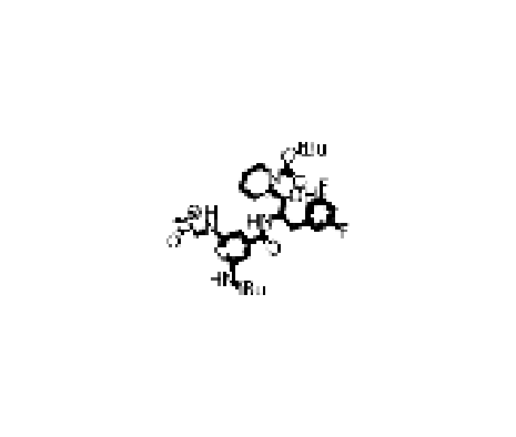 CCC(C)Nc1cc(C(=O)NC(Cc2cc(F)cc(F)c2)[C@H](O)[C@H]2CCCCN2C(=O)OC(C)(C)C)cc(NCS(C)(=O)=O)n1